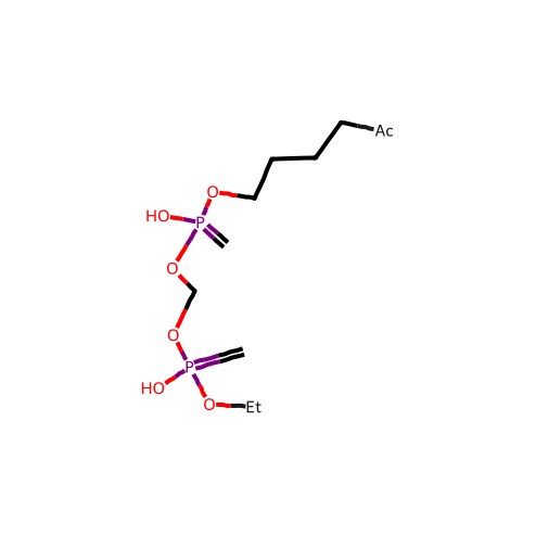 C=P(O)(OCC)OCOP(=C)(O)OCCCCC(C)=O